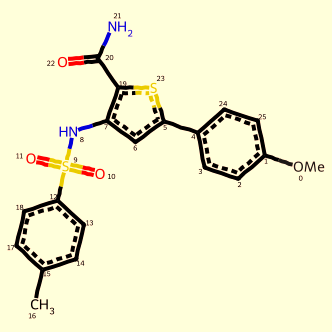 COc1ccc(-c2cc(NS(=O)(=O)c3ccc(C)cc3)c(C(N)=O)s2)cc1